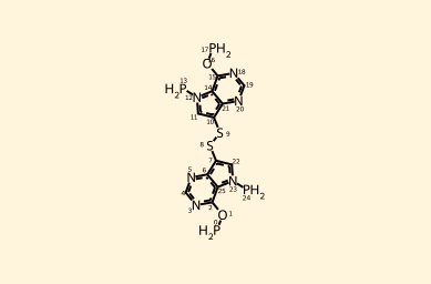 POc1ncnc2c(SSc3cn(P)c4c(OP)ncnc34)cn(P)c12